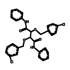 O=C(Nc1ccccc1)C(OCc1ccc(Cl)cc1)C(OCc1cccc(Cl)c1)C(=O)Nc1ccccc1